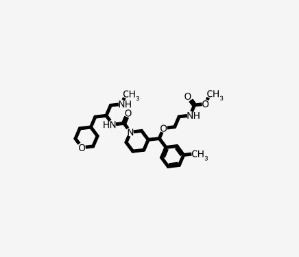 CNCC(CC1CCOCC1)NC(=O)N1CCCC(C(OCCNC(=O)OC)c2cccc(C)c2)C1